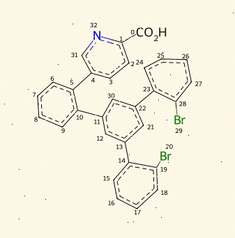 O=C(O)c1ccc(-c2ccccc2-c2cc(-c3ccccc3Br)cc(-c3ccccc3Br)c2)cn1